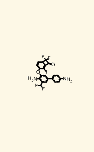 Nc1ccc(-c2cc(OC3=C=C=C4C(=C3I)C(=O)C4(F)F)c(N)c(C(F)F)c2)cc1